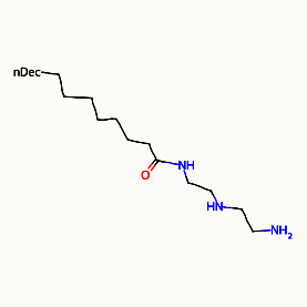 CCCCCCCCCCCCCCCCCC(=O)NCCNCCN